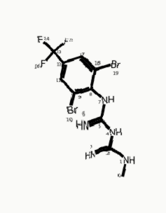 CNC(=N)NC(=N)Nc1c(Br)cc(C(F)(F)F)cc1Br